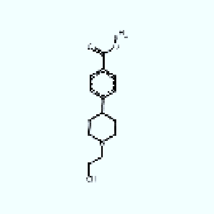 CCCN1CCC(c2ccc(C(=O)OC)cc2)CC1